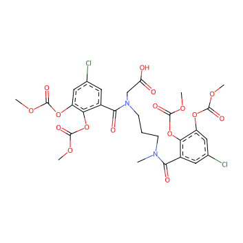 COC(=O)Oc1cc(Cl)cc(C(=O)N(C)CCCN(CC(=O)O)C(=O)c2cc(Cl)cc(OC(=O)OC)c2OC(=O)OC)c1OC(=O)OC